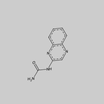 NC(=O)Nc1cnc2ccccc2n1